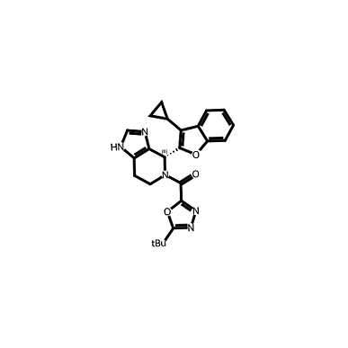 CC(C)(C)c1nnc(C(=O)N2CCc3[nH]cnc3[C@@H]2c2oc3ccccc3c2C2CC2)o1